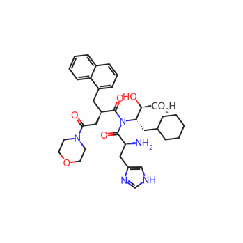 N[C@@H](Cc1c[nH]cn1)C(=O)N(C(=O)[C@@H](CC(=O)N1CCOCC1)Cc1cccc2ccccc12)[C@@H](CC1CCCCC1)[C@@H](O)C(=O)O